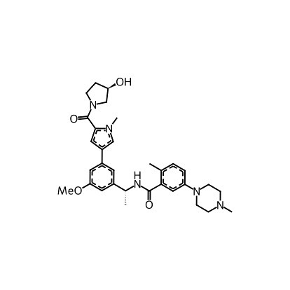 COc1cc(-c2cc(C(=O)N3CC[C@@H](O)C3)n(C)c2)cc([C@@H](C)NC(=O)c2cc(N3CCN(C)CC3)ccc2C)c1